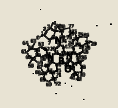 Cc1cc(C)c2c(c1)N(c1cc3c4c(c1)N(c1ccc5c(c1)C(C)(C)CCC5(C)C)c1c(oc5c1C(C)(C)CCC5(C)C)B4c1cc4c(cc1N3c1ccc3c(c1)C(C)(C)CCC3(C)C)C(C)(C)CCC4(C)C)C1(C)CCCCC21C